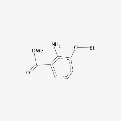 CCOc1cccc(C(=O)OC)c1N